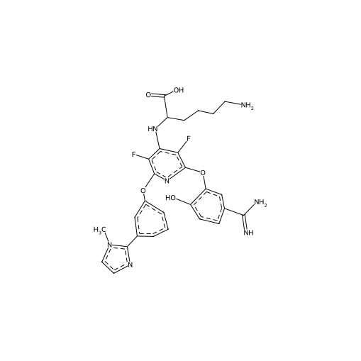 Cn1ccnc1-c1cccc(Oc2nc(Oc3cc(C(=N)N)ccc3O)c(F)c(NC(CCCCN)C(=O)O)c2F)c1